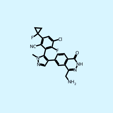 Cn1ncc(-c2ccc3c(=O)[nH]nc(CN)c3c2)c1-c1c(F)c(Cl)cc(C2(F)CC2)c1C#N